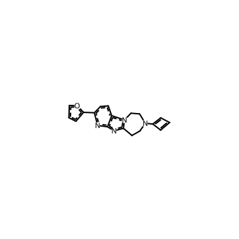 C1=CC(N2CCc3nc4nc(-c5ccco5)ccc4n3CC2)=C1